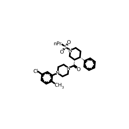 CCCS(=O)(=O)N1CC[C@H](c2ccccc2)[C@H](C(=O)N2CCN(c3cc(Cl)ccc3C)CC2)C1